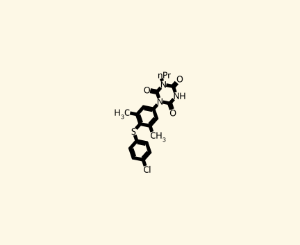 CCCn1c(=O)[nH]c(=O)n(-c2cc(C)c(Sc3ccc(Cl)cc3)c(C)c2)c1=O